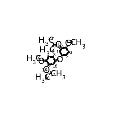 COc1ccc(Oc2ccc(OC)c(OC(C)C)c2)cc1OC(C)C